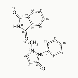 Cn1ccc(=O)n1-c1ccccc1.O=C1NC(=O)c2ccccc21